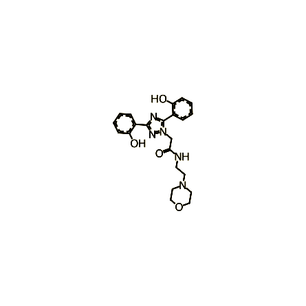 O=C(Cn1nc(-c2ccccc2O)nc1-c1ccccc1O)NCCN1CCOCC1